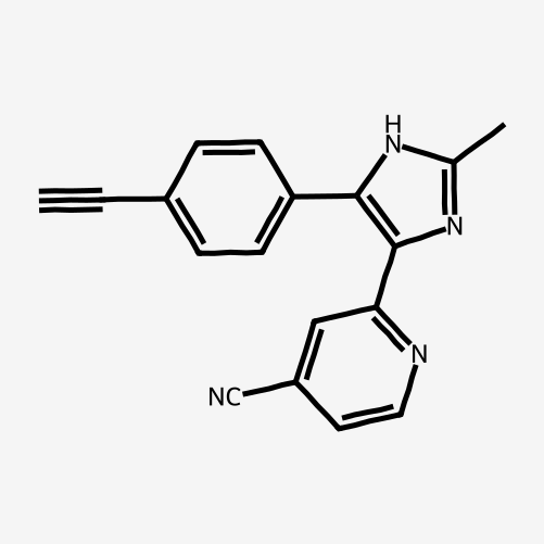 C#Cc1ccc(-c2[nH]c(C)nc2-c2cc(C#N)ccn2)cc1